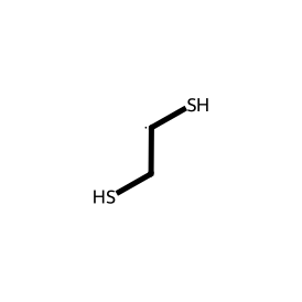 S[CH]CS